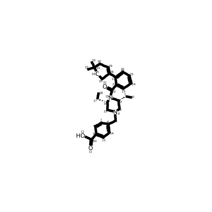 CC[C@@H]1CN(Cc2ccc(C(=O)O)cc2)C[C@H](CC)N1C(=O)c1ccccc1C1=CCC(C)(C)CC1